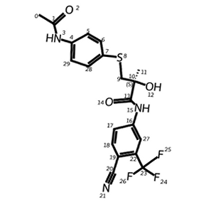 CC(=O)Nc1ccc(SC[C@@](C)(O)C(=O)Nc2ccc(C#N)c(C(F)(F)F)c2)cc1